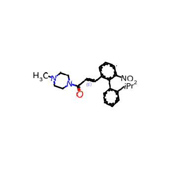 CC(C)c1ccccc1-c1c([N+](=O)[O-])[c]ccc1/C=C/C(=O)N1CCN(C)CC1